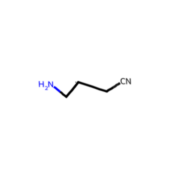 N#CC[CH]CN